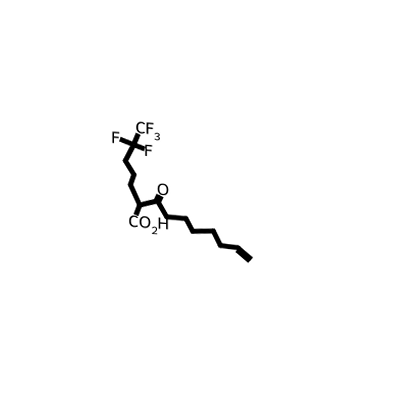 C=CCCCCCC(=O)C(CCCC(F)(F)C(F)(F)F)C(=O)O